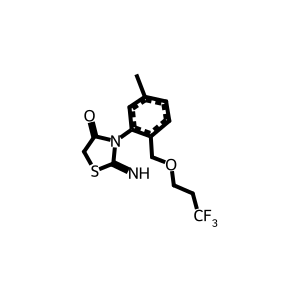 Cc1ccc(COCCC(F)(F)F)c(N2C(=N)SCC2=O)c1